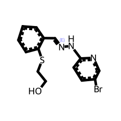 OCCSc1ccccc1/C=N/Nc1ccc(Br)cn1